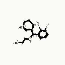 OCCOC(c1cccc(F)c1F)C1CCCNC1